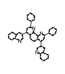 c1ccc(-c2cc(-c3cnc4ccccc4c3)c3ccc4c(-c5cnc6ccccc6c5)cc(-c5ccccc5)nc4c3n2)cc1